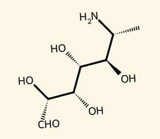 C[C@@H](N)[C@@H](O)[C@@H](O)[C@H](O)[C@@H](O)C=O